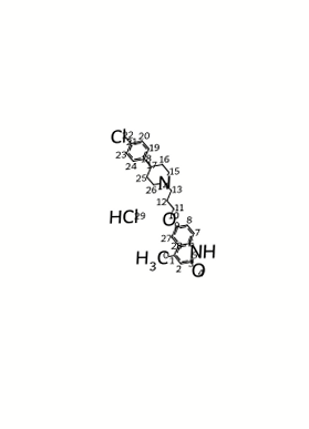 Cc1cc(=O)[nH]c2ccc(OCCCN3CCC(c4ccc(Cl)cc4)CC3)cc12.Cl